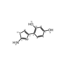 Nc1nc(-c2ccc(O)cc2O)cs1